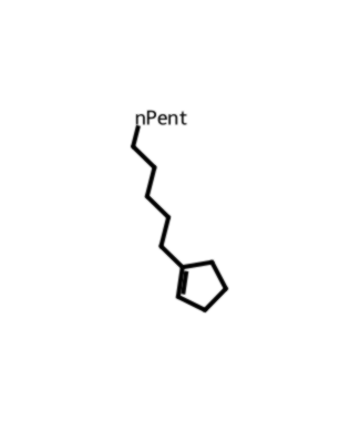 CCCCCCCCCCC1=CCCC1